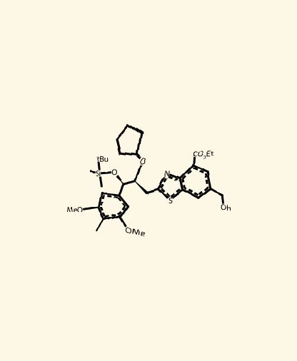 CCOC(=O)c1cc(CO)cc2sc(C[C@H](OC3CCCC3)[C@H](O[Si](C)(C)C(C)(C)C)c3cc(OC)c(C)c(OC)c3)nc12